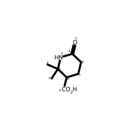 CC1(C)NC(=O)CCC1C(=O)O